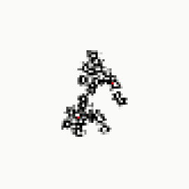 CN1c2oc3ccc(-c4ccc5ccccc5c4)cc3c2NC(c2ccc3c(c2)c2ccc(-c4ccc5cc6c7c8ccccc8ccc7n(C7Nc8sc9ccc(-c%10ccccc%10)cc9c8N=C7c7ccc8c(c7)c7ccccc7n8-c7ccccc7)c6cc5c4)cc2n3-c2ccccc2)C1C1C2Cc3cc4ccccc4cc3-c3c(ccc4ccccc34)C21